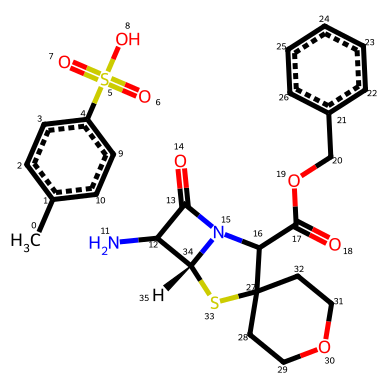 Cc1ccc(S(=O)(=O)O)cc1.NC1C(=O)N2C(C(=O)OCc3ccccc3)C3(CCOCC3)S[C@H]12